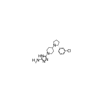 Nc1nnc(N2CCC(N3CCC[C@@H]3c3cccc(Cl)c3)CC2)[nH]1